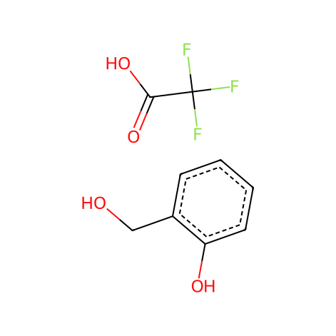 O=C(O)C(F)(F)F.OCc1ccccc1O